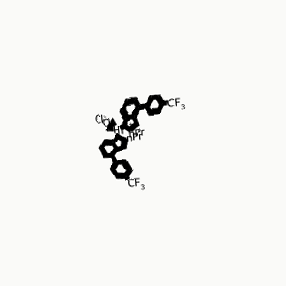 CCCC1=Cc2c(-c3ccc(C(F)(F)F)cc3)cccc2[CH]1[Hf+2]1([CH]2C(CCC)=Cc3c(-c4ccc(C(F)(F)F)cc4)cccc32)[CH2][CH2]1.[Cl-].[Cl-]